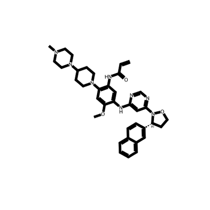 C=CC(=O)Nc1cc(Nc2cc(N3OCC[C@@H]3c3ccc4ccccc4c3)ncn2)c(OC)cc1N1CCC(N2CCN(C)CC2)CC1